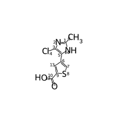 Cc1nc(Cl)c(-c2csc(C(=O)O)c2)[nH]1